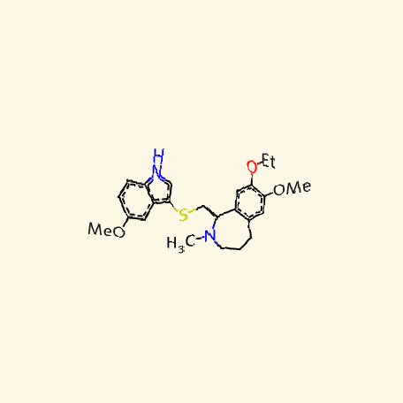 CCOc1cc2c(cc1OC)CCCN(C)C2CSc1c[nH]c2ccc(OC)cc12